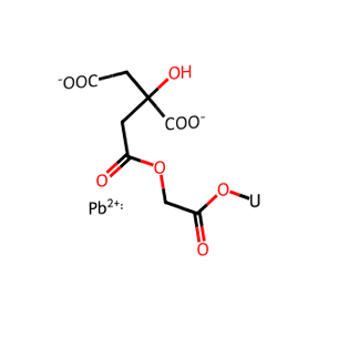 O=C([O-])CC(O)(CC(=O)OCC(=O)[O][U])C(=O)[O-].[Pb+2]